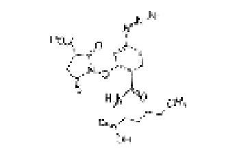 CCCCCC(=O)O.[N-]=[N+]=Nc1ccc(C(N)=O)c(ON2C(=O)CC(S(=O)(=O)O)C2=O)c1